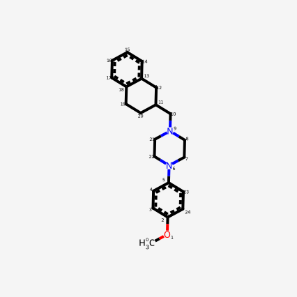 COc1ccc(N2CCN(CC3[CH]c4ccccc4CC3)CC2)cc1